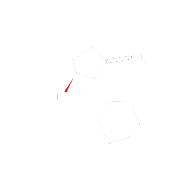 C=C1CC[C@H](O)[C@H]1C1SCCCS1